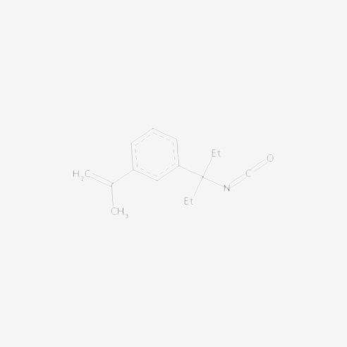 C=C(C)c1cccc(C(CC)(CC)N=C=O)c1